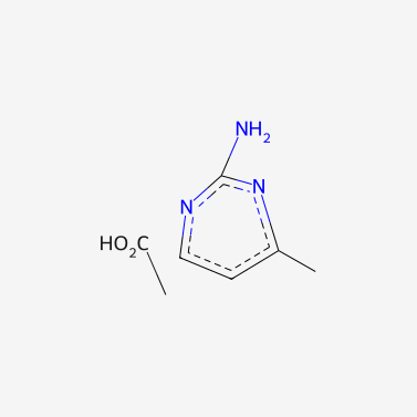 CC(=O)O.Cc1ccnc(N)n1